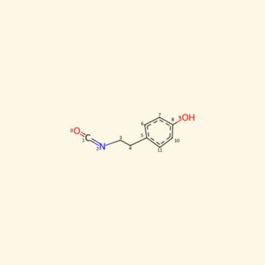 O=C=NCCc1ccc(O)cc1